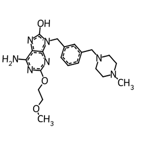 COCCOc1nc(N)c2nc(O)n(Cc3cccc(CN4CCN(C)CC4)c3)c2n1